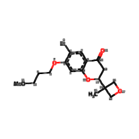 CCc1cc2c(cc1OCCCOC)OC(C1(C)COC1)CC2=O